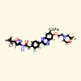 COc1cc2nc(-c3ccc(CC(=O)Nc4cc(C5(C(F)(F)F)CC5)on4)c(F)c3)cnc2cc1OCCN1CCO[C@H](C)C1